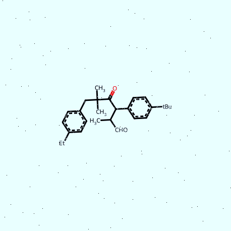 CCc1ccc(CC(C)(C)C(=O)C(c2ccc(C(C)(C)C)cc2)C(C)C=O)cc1